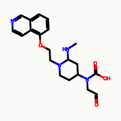 CNC1CC(N(CC=O)C(=O)O)CCN1CCOc1cccc2cnccc12